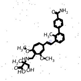 COC1=CC(/C=C/c2cccc(-c3ccc(C(N)=O)cc3)c2C)C=CC(OC)=C1CNC(C)(CO)C(=O)O